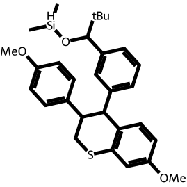 COc1ccc(C2CSc3cc(OC)ccc3C2c2cccc(C(O[SiH](C)C)C(C)(C)C)c2)cc1